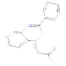 COC(=O)/C=C1\OC(c2ccccc2)=Nc2ccccc21